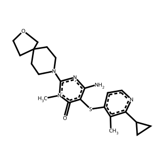 Cc1c(Sc2c(N)nc(N3CCC4(CCOC4)CC3)n(C)c2=O)ccnc1C1CC1